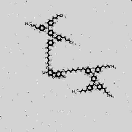 CCCCc1ccc(N(c2ccc(CCCC)cc2)c2ccc(N(c3ccc(CCCC)cc3)c3ccc(CCCCCCCCOc4cc5c(cc4Br)oc4cc(Br)c(OCCCCCCCCc6ccc(N(c7ccc(CCCC)cc7)c7ccc(N(c8ccc(CCCC)cc8)c8ccc(CCCC)cc8)cc7)cc6)cc45)cc3)cc2)cc1